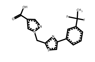 CC(F)(F)c1cccc(-c2csc(Cn3cc(C(=O)O)cn3)n2)c1